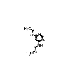 CCSc1ncnc(NCCN)n1